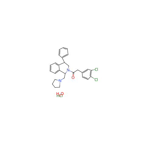 Cl.O.O=C(Cc1ccc(Cl)c(Cl)c1)N1CC(c2ccccc2)c2ccccc2C1CN1CCCC1